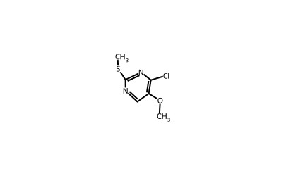 COc1cnc(SC)nc1Cl